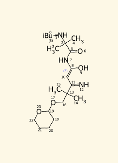 CC[C@H](C)NC(C)(C)C(=O)N/C(O)=C/C(=N)C(C)(C)COC1CCCCO1